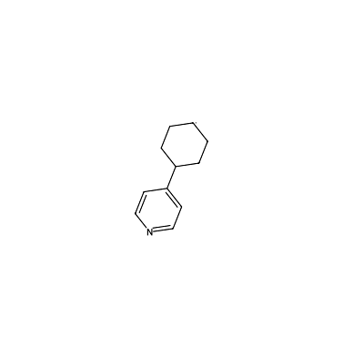 [CH]1CCC(c2ccncc2)CC1